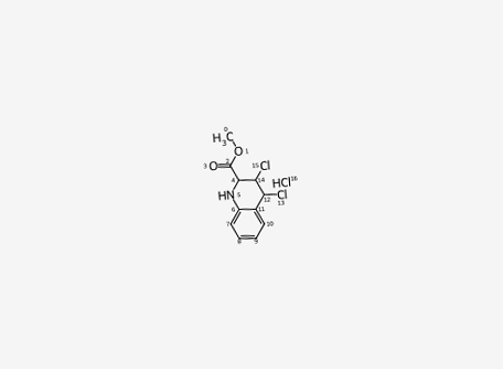 COC(=O)C1Nc2ccccc2C(Cl)C1Cl.Cl